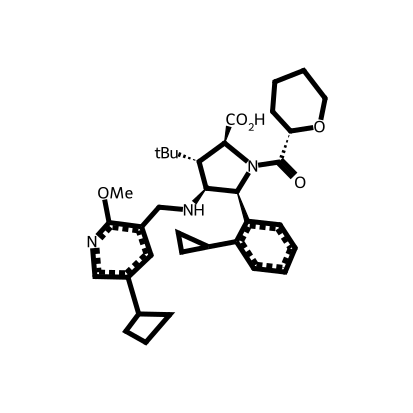 COc1ncc(C2CCC2)cc1CN[C@H]1[C@H](C(C)(C)C)[C@@H](C(=O)O)N(C(=O)[C@@H]2CCCCO2)[C@H]1c1ccccc1C1CC1